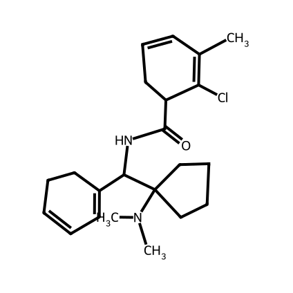 CC1=C(Cl)C(C(=O)NC(C2=CC=CCC2)C2(N(C)C)CCCC2)CC=C1